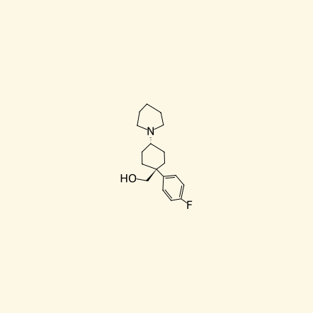 OC[C@]1(c2ccc(F)cc2)CC[C@@H](N2CCCCC2)CC1